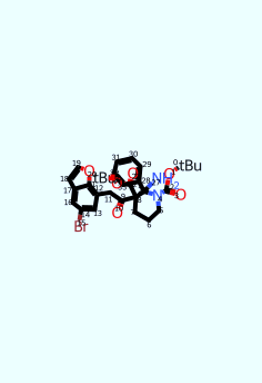 CC(C)(C)OC(=O)N1CCCC(C(=O)Cc2cc(Br)cc3ccoc23)(C(=O)OC(C)(C)C)C1(N)c1ccccc1